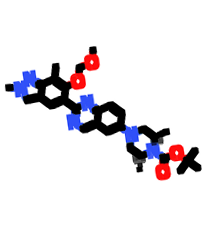 COCOc1c(-c2ncc3cc(N4C[C@@H](C)N(C(=O)OC(C)(C)C)[C@H](C)C4)ccc3n2)cc2cn(C)nc2c1C